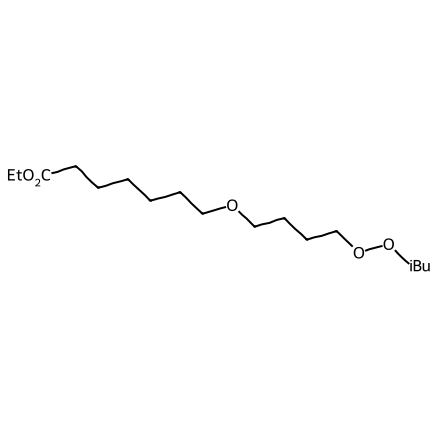 CCOC(=O)CCCCCCOCCCCOOC(C)CC